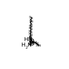 CCCCCCCCCCCCCCCCNC(CCN)OC(=O)CCCCC